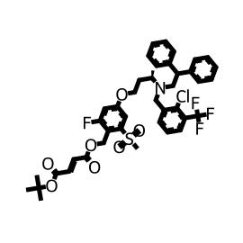 C[C@H](CCOc1cc(F)c(COC(=O)/C=C/C(=O)OC(C)(C)C)c(S(C)(=O)=O)c1)N(Cc1cccc(C(F)(F)F)c1Cl)CC(c1ccccc1)c1ccccc1